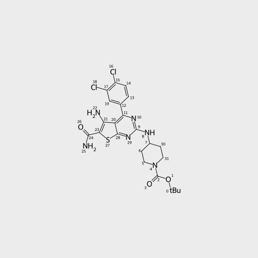 CC(C)(C)OC(=O)N1CCC(Nc2nc(-c3ccc(Cl)c(Cl)c3)c3c(N)c(C(N)=O)sc3n2)CC1